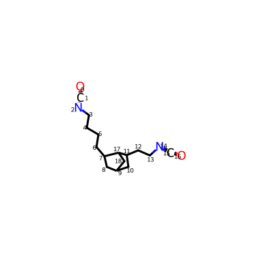 O=C=NCCCCC1CC2CC(CCN=C=O)C1C2